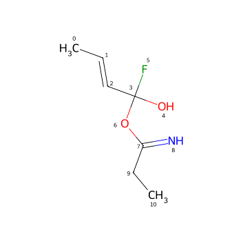 C/C=C/C(O)(F)OC(=N)CC